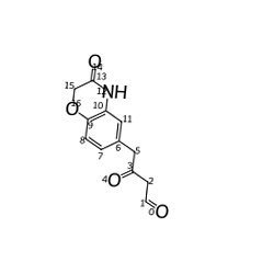 O=CCC(=O)Cc1ccc2c(c1)NC(=O)CO2